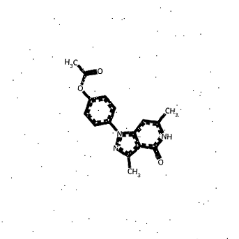 CC(=O)Oc1ccc(-n2nc(C)c3c(=O)[nH]c(C)cc32)cc1